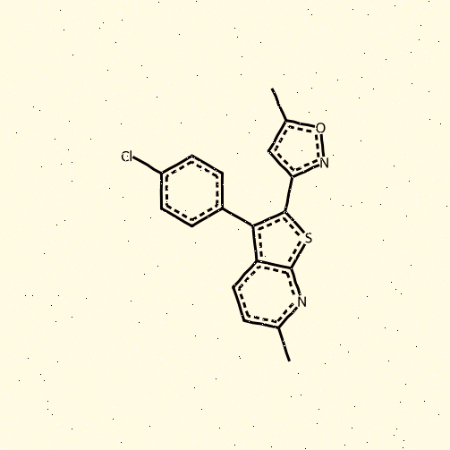 Cc1ccc2c(-c3ccc(Cl)cc3)c(-c3cc(C)on3)sc2n1